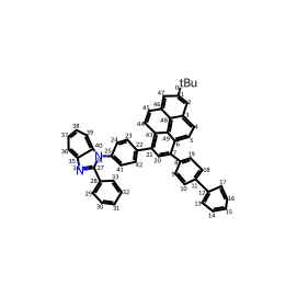 CC(C)(C)c1cc2ccc3c(-c4ccc(-c5ccccc5)cc4)cc(-c4ccc(-n5c(-c6ccccc6)nc6ccccc65)cc4)c4ccc(c1)c2c34